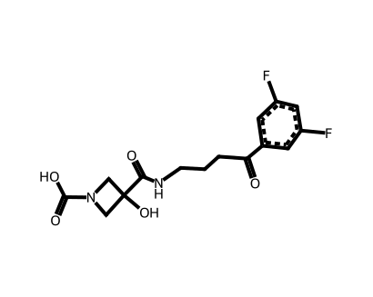 O=C(CCCNC(=O)C1(O)CN(C(=O)O)C1)c1cc(F)cc(F)c1